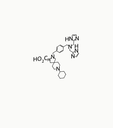 O=C(O)[C@H]1CC2(CCN(C3CCCCC3)CC2)CN1Cc1ccc(CN(Cc2ncc[nH]2)Cc2ncc[nH]2)cc1